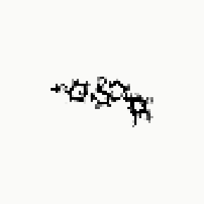 Cc1nc(N2CCC[C@@]3(CCN([C@H]4CC[C@H](O)CC4)C3=O)C2)ccc1F